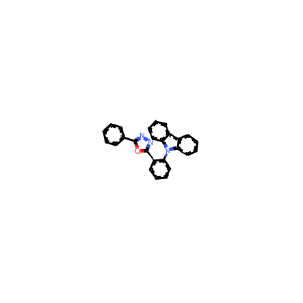 c1ccc(-c2nnc(-c3ccccc3-n3c4ccccc4c4ccccc43)o2)cc1